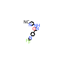 N#Cc1ccc(Nc2ncc(-c3ccc(N4CC(F)(F)C4)cc3)o2)cn1